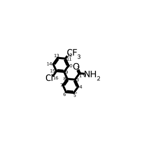 NC(=O)c1c[c]ccc1-c1cc(C(F)(F)F)ccc1Cl